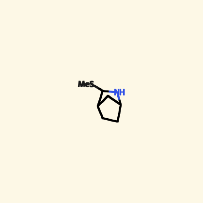 CSC1NC2CCC1C2